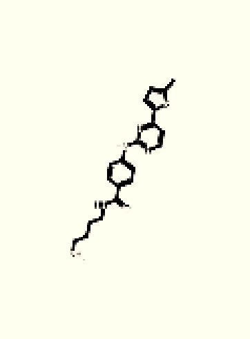 NCCCCNC(=O)c1ccc(Nc2nccc(-c3ccc(Br)s3)n2)cc1